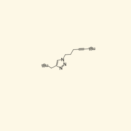 CC(C)(C)C#CCCCn1cc(CC(C)(C)C)nn1